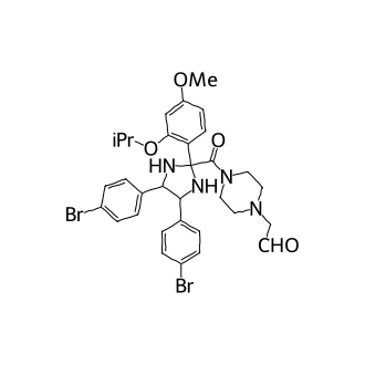 COc1ccc(C2(C(=O)N3CCN(CC=O)CC3)NC(c3ccc(Br)cc3)C(c3ccc(Br)cc3)N2)c(OC(C)C)c1